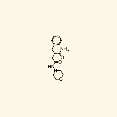 NC(=O)[C@@H](CC(=O)NN1CCOCC1)Cc1ccccc1